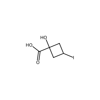 O=C(O)C1(O)CC(I)C1